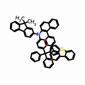 CC1(C)c2ccccc2-c2ccc(N(c3ccc(C(c4ccccc4)(c4ccccc4)c4ccccc4)cc3)c3ccc4ccccc4c3-c3ccc(-c4cccc5c4sc4ccccc45)cc3)cc21